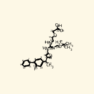 CC(c1ccc(-c2ccccc2)c(F)c1)c1cc(NC(=NCOC(C)(C)C)NCCOCC(=O)O)on1